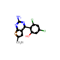 CCOC(=O)c1cc2c(-c3c(O)cc(Cl)cc3Cl)nc(N)nc2s1